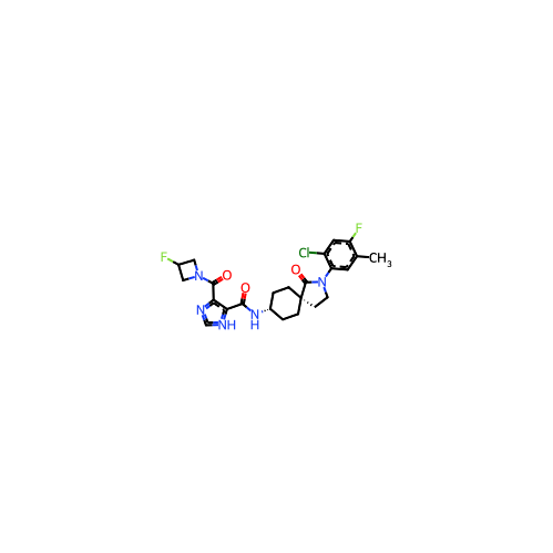 Cc1cc(N2CC[C@]3(CC[C@@H](NC(=O)c4[nH]cnc4C(=O)N4CC(F)C4)CC3)C2=O)c(Cl)cc1F